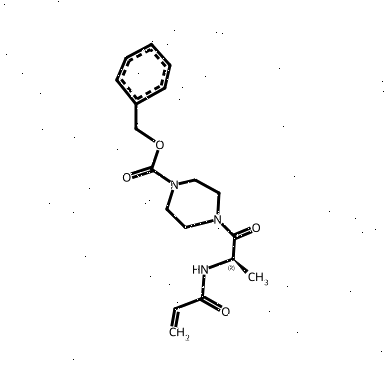 C=CC(=O)N[C@H](C)C(=O)N1CCN(C(=O)OCc2ccccc2)CC1